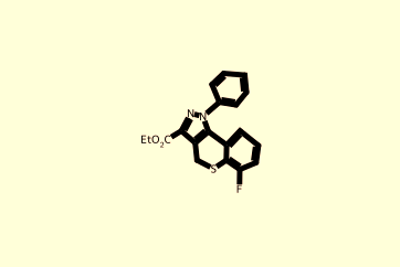 CCOC(=O)c1nn(-c2ccccc2)c2c1CSc1c(F)cccc1-2